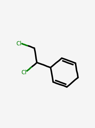 ClCC(Cl)C1C=CCC=C1